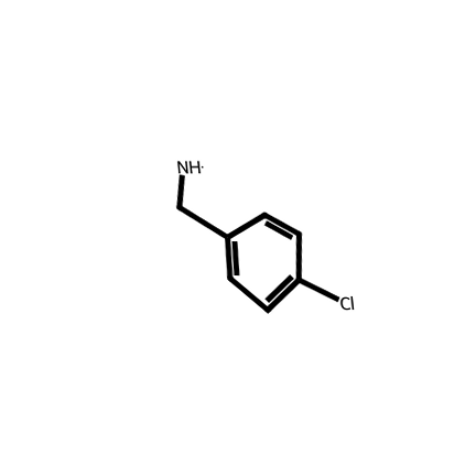 [NH]Cc1ccc(Cl)cc1